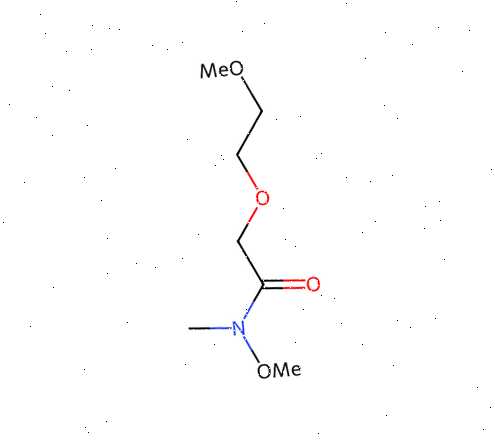 COCCOCC(=O)N(C)OC